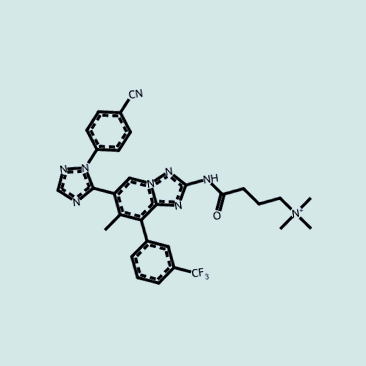 Cc1c(-c2ncnn2-c2ccc(C#N)cc2)cn2nc(NC(=O)CCC[N+](C)(C)C)nc2c1-c1cccc(C(F)(F)F)c1